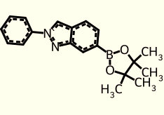 CC1(C)OB(c2ccc3cn(-c4ccccc4)nc3c2)OC1(C)C